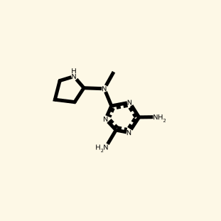 CN(c1nc(N)nc(N)n1)C1CCCN1